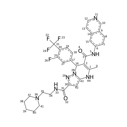 CC1=C(C(=O)Nc2ccc3cnccc3c2)C(c2ccc(C(F)(F)F)c(F)c2)n2nc(C(=O)NCCN3CCCCC3)cc2N1